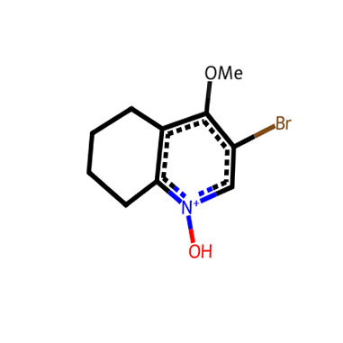 COc1c(Br)c[n+](O)c2c1CCCC2